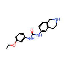 CCOc1cccc(NC(=O)Nc2ccc3c(c2)CCNC3)c1